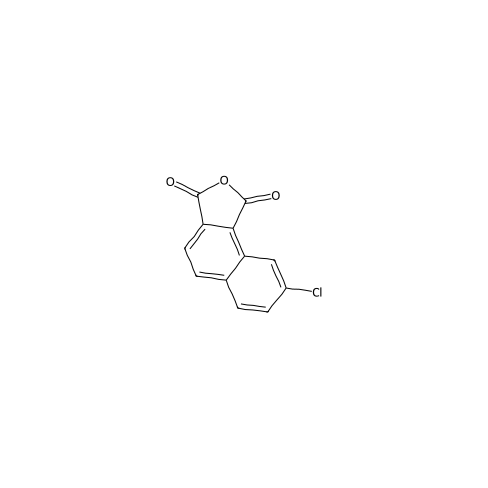 O=C1OC(=O)c2c1ccc1ccc(Cl)cc21